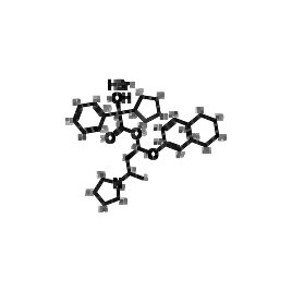 Br.CC(C[C@@H](OC(=O)[C@](O)(c1ccccc1)C1CCCC1)Oc1ccc2c(c1)CCCC2)N1CCCC1